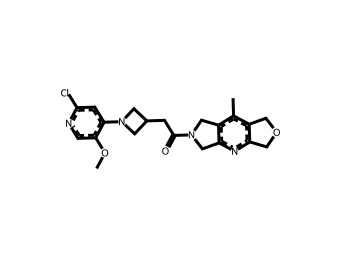 COc1cnc(Cl)cc1N1CC(CC(=O)N2Cc3nc4c(c(C)c3C2)COC4)C1